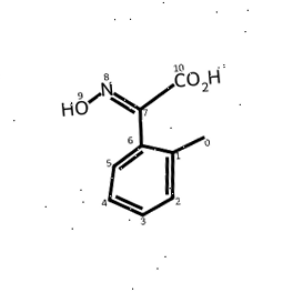 Cc1ccccc1/C(=N\O)C(=O)O